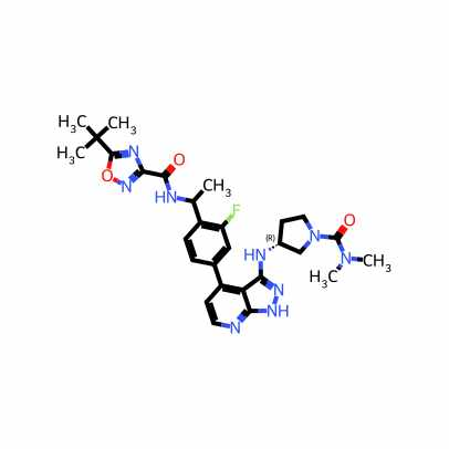 CC(NC(=O)c1noc(C(C)(C)C)n1)c1ccc(-c2ccnc3[nH]nc(N[C@@H]4CCN(C(=O)N(C)C)C4)c23)cc1F